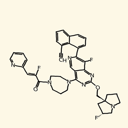 C#Cc1cccc2cccc(-c3ncc4c(N5CCCN(C(=O)/C(F)=C/c6ccccn6)CC5)nc(OC[C@@]56CCCN5C[C@H](F)C6)nc4c3F)c12